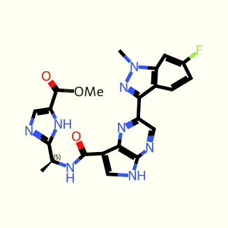 COC(=O)c1cnc([C@H](C)NC(=O)c2c[nH]c3ncc(-c4nn(C)c5cc(F)ccc45)nc23)[nH]1